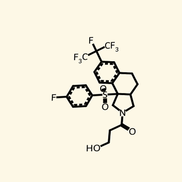 O=C(CCO)N1CC2CCc3cc(C(F)(C(F)(F)F)C(F)(F)F)ccc3C2(S(=O)(=O)c2ccc(F)cc2)C1